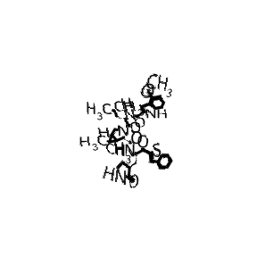 COc1cccc2[nH]c(C(=O)N[C@@H](CC(C)C)C(=O)N3C[C@H]4[C@@H]([C@H]3C(=O)N[C@@H](C[C@@H]3CCNC3=O)C(=O)c3cc5ccccc5s3)C4(C)C)cc12